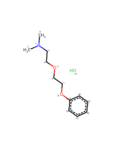 CN(C)CCOCCOc1ccccc1.Cl